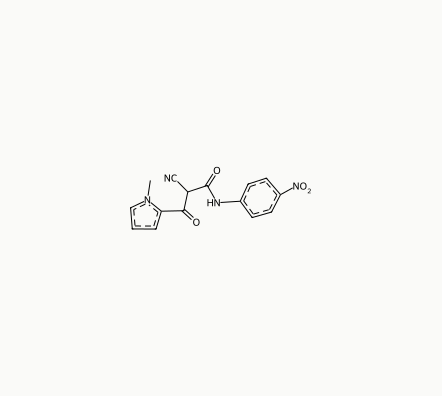 Cn1cccc1C(=O)C(C#N)C(=O)Nc1ccc([N+](=O)[O-])cc1